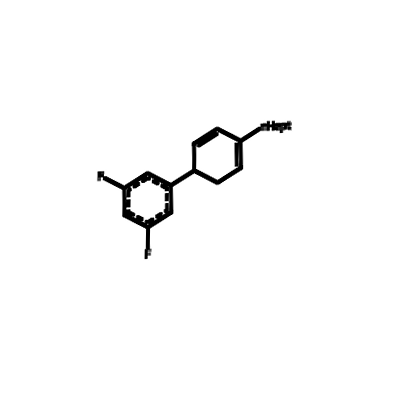 CCCCCCCC1=CCC(c2cc(F)cc(F)c2)C=C1